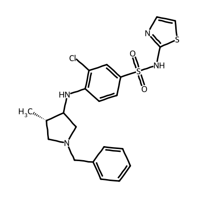 C[C@H]1CN(Cc2ccccc2)CC1Nc1ccc(S(=O)(=O)Nc2nccs2)cc1Cl